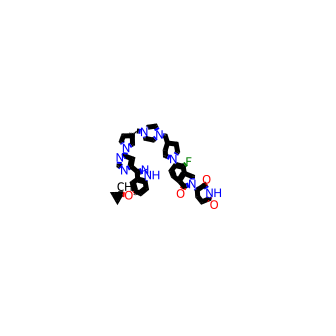 CC1(Oc2ccc3[nH]nc(-c4cc(N5CC[C@H](CN6CCN(CC7CCN(c8ccc9c(c8F)CN(C8CCC(=O)NC8=O)C9=O)CC7)CC6)C5)ncn4)c3c2)CC1